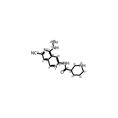 CC(C)(C)Nc1nc(C#N)cc2cnc(NC(=O)C3CCCNC3)cc12